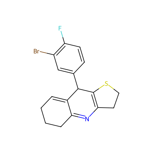 Fc1ccc(C2C3=CCCCC3=NC3=C2SCC3)cc1Br